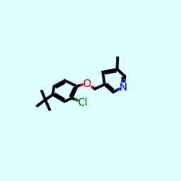 Cc1cncc(COc2ccc(C(C)(C)C)cc2Cl)c1